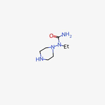 CCN(C(N)=O)N1CCNCC1